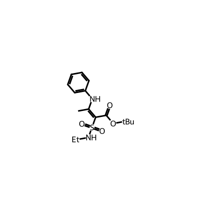 CCNS(=O)(=O)/C(C(=O)OC(C)(C)C)=C(\C)Nc1ccccc1